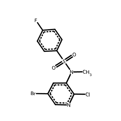 CN(c1cc(Br)cnc1Cl)S(=O)(=O)c1ccc(F)cc1